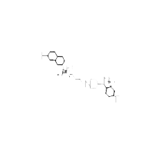 O=S(=O)(NCCCCN1CCC(c2noc3cc(F)ccc23)CC1)c1ccc2ccc(Cl)cc2c1